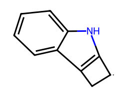 [CH]1Cc2c1[nH]c1ccccc21